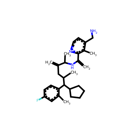 C=C(NC(C)C(=C)CC(C)C(c1ccc(F)cc1C)C1CCCC1)c1nccc(CN)c1C